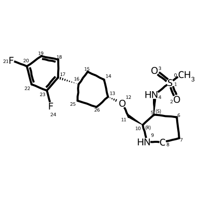 CS(=O)(=O)N[C@H]1CCCN[C@H]1CO[C@H]1CC[C@@H](c2ccc(F)cc2F)CC1